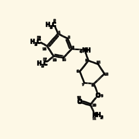 Cc1cc(NC2CCC(OC(N)=O)CC2)cc(C)c1C